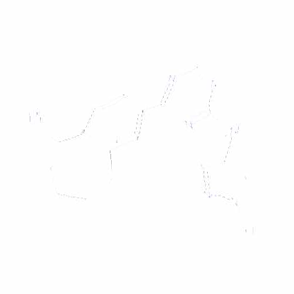 Cn1cc(Nc2ncnc(-c3ccc4c(c3F)CCCCC4N)n2)cn1